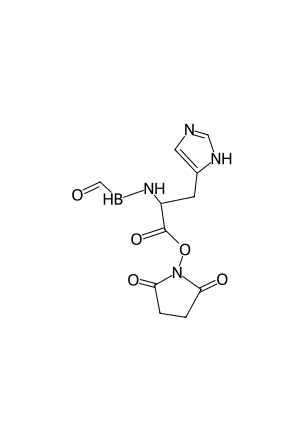 O=CBNC(Cc1cnc[nH]1)C(=O)ON1C(=O)CCC1=O